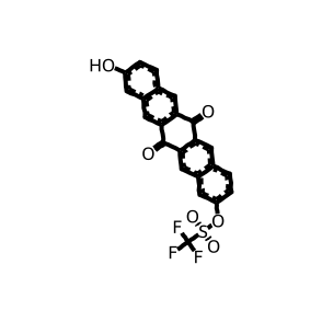 O=C1c2cc3ccc(O)cc3cc2C(=O)c2cc3cc(OS(=O)(=O)C(F)(F)F)ccc3cc21